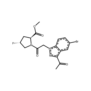 COC(=O)[C@@H]1C[C@@H](F)CN1C(=O)Cn1nc(C(C)=O)c2cc(Br)ccc21